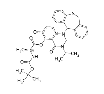 CC(C)N1CN(C2c3ccccc3CSc3ccccc32)n2ccc(=O)c(OC(=O)[C@H](C)NC(=O)OC(C)(C)C)c2C1=O